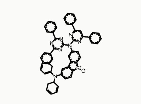 [O-][s+]1c2ccc(N(c3nc(-c4ccccc4)cc(-c4ccccc4)n3)c3nc(-c4ccccc4)nc(-c4ccccc4)n3)cc2c2cc(N(C3=CC=CCC3)C3C=CC=CC3)ccc21